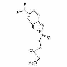 COCC(=O)CCC(=O)n1cc2ccc(C(F)F)cc2c1